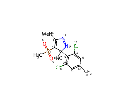 CNC1=C(S(C)(=O)=O)C(C#N)(c2c(Cl)cc(C(F)(F)F)cc2Cl)N=N1